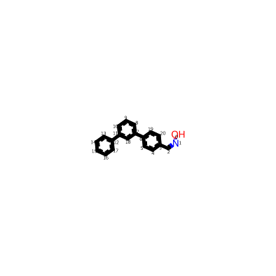 O/N=C\c1ccc(-c2cccc(-c3ccccc3)c2)cc1